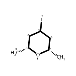 C[C@@H]1CC(I)C[C@H](C)O1